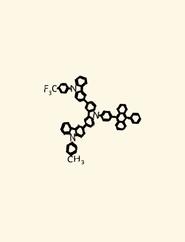 Cc1ccc(-n2c3ccccc3c3cc(-c4ccc5c(c4)c4cc(-c6ccc7c(c6)c6ccccc6n7-c6ccc(C(F)(F)F)cc6)ccc4n5-c4ccc(-c5c6ccccc6c(-c6ccccc6)c6ccccc56)cc4)ccc32)cc1